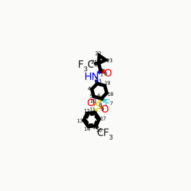 O=C(NC1CCC(F)(S(=O)(=O)c2cccc(C(F)(F)F)c2)CC1)C1(C(F)(F)F)CC1